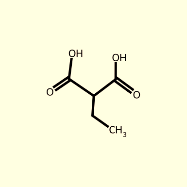 CCC(C(=O)O)C(=O)O